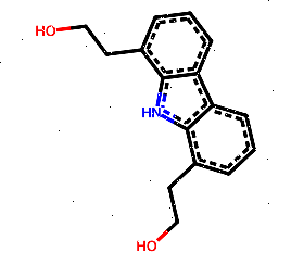 OCCc1cccc2c1[nH]c1c(CCO)cccc12